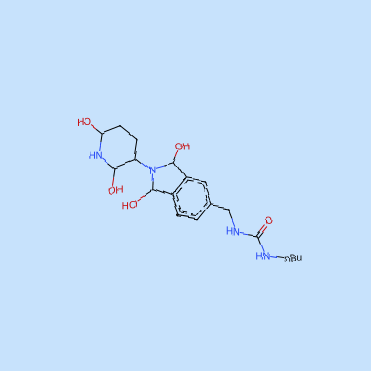 CCCCNC(=O)NCc1ccc2c(c1)C(O)N(C1CCC(O)NC1O)C2O